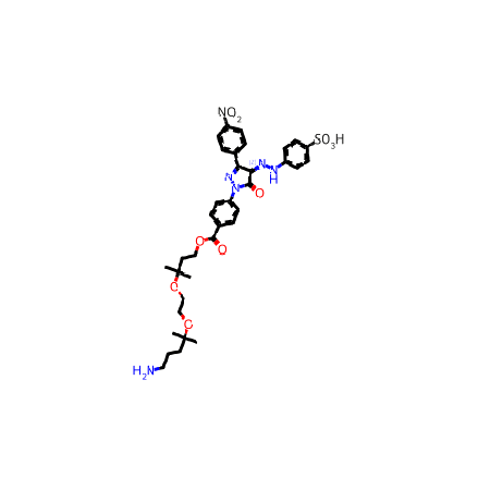 CC(C)(CCCN)OCCOC(C)(C)CCOC(=O)c1ccc(N2N=C(c3ccc([N+](=O)[O-])cc3)/C(=N/Nc3ccc(S(=O)(=O)O)cc3)C2=O)cc1